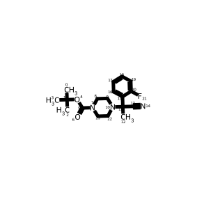 CC(C)(C)OC(=O)N1CCN(C(C)(C#N)c2ccccc2F)CC1